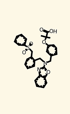 CC(C)(Oc1cccc(CN(Cc2ccccc2CS(=O)(=O)c2ccccc2)c2nc3ccccc3o2)c1)C(=O)O